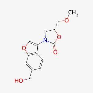 COC[C@H]1CN(c2coc3cc(CO)ccc23)C(=O)O1